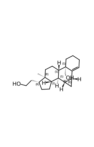 C[C@]12CC[C@H]3[C@@H]([C@H]4C[C@H]4C4=CCCC[C@@]43CO)[C@@H]1CC[C@@H]2CCO